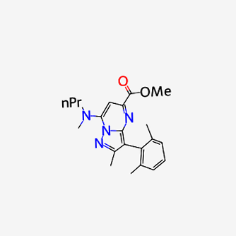 CCCN(C)c1cc(C(=O)OC)nc2c(-c3c(C)cccc3C)c(C)nn12